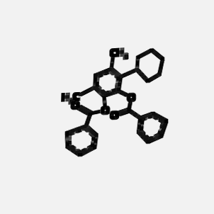 Cc1cc(C)c(C2CCCCC2)c(OC(=O)c2ccccc2)c1OC(=O)c1ccccc1